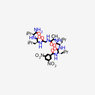 CC(C)C[C@H](NC(=O)CNC(=O)[C@H](C)NC(=O)[C@H](CC(C)C)NC(=O)[C@H](CC(C)C)NC(=O)c1cc([N+](=O)[O-])cc([N+](=O)[O-])c1)C(=O)N[C@H](C(N)=O)C(C)C